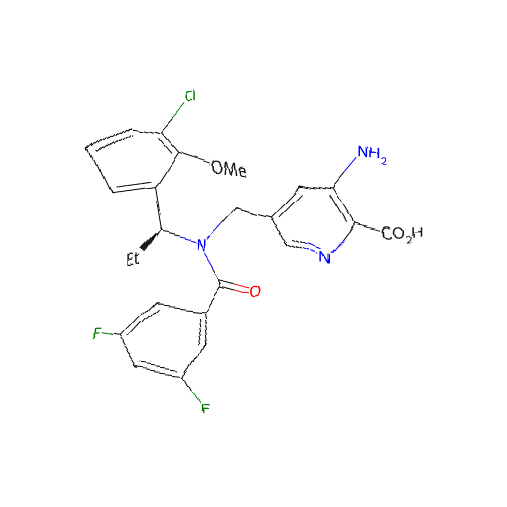 CC[C@@H](c1cccc(Cl)c1OC)N(Cc1cnc(C(=O)O)c(N)c1)C(=O)c1cc(F)cc(F)c1